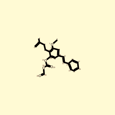 C=C(C)CCc1c(OC)cc(/C=C/c2ccccc2)cc1OC(=O)OC=O